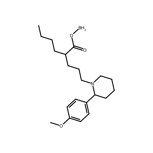 BOC(=O)C(CCCC)CCCN1CCCCC1c1ccc(OC)cc1